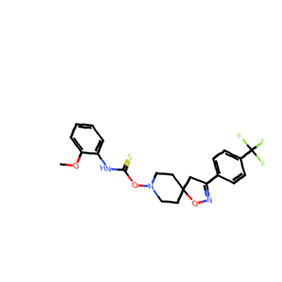 COc1ccccc1NC(=S)ON1CCC2(CC1)CC(c1ccc(C(F)(F)F)cc1)=NO2